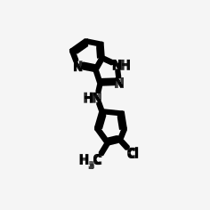 Cc1cc(Nc2n[nH]c3cccnc23)ccc1Cl